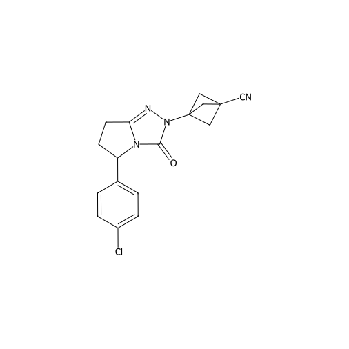 N#CC12CC(n3nc4n(c3=O)C(c3ccc(Cl)cc3)CC4)(C1)C2